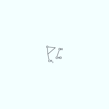 CC1CO1.O=CO